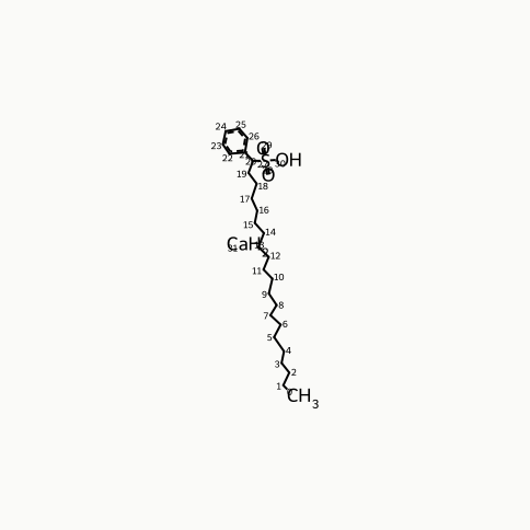 CCCCCCCCCCCCCCCCCCCCC(c1ccccc1)S(=O)(=O)O.[CaH2]